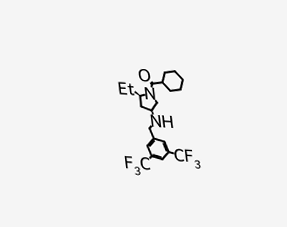 CC[C@@H]1C[C@H](NCc2cc(C(F)(F)F)cc(C(F)(F)F)c2)CN1C(=O)C1CCCCC1